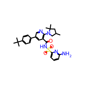 CC1CN(c2ncc(-c3ccc(C(C)(C)C)cc3)cc2C(=O)NS(=O)(=O)c2cccc(N)n2)C(C)(C)C1